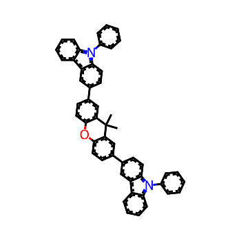 CC1(C)c2cc(-c3ccc4c(c3)c3ccccc3n4-c3ccccc3)ccc2Oc2ccc(-c3ccc4c(c3)c3ccccc3n4-c3ccccc3)cc21